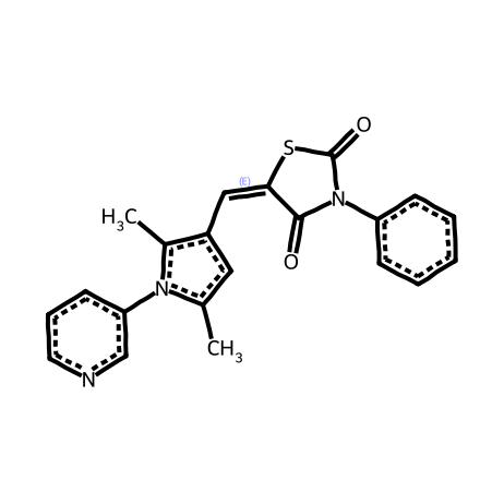 Cc1cc(/C=C2/SC(=O)N(c3ccccc3)C2=O)c(C)n1-c1cccnc1